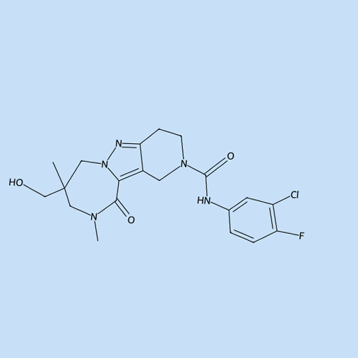 CN1CC(C)(CO)Cn2nc3c(c2C1=O)CN(C(=O)Nc1ccc(F)c(Cl)c1)CC3